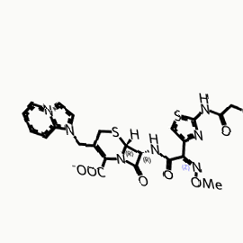 CO/N=C(\C(=O)N[C@@H]1C(=O)N2C(C(=O)[O-])=C(Cn3cc[n+]4ccccc34)CS[C@H]12)c1csc(NC(=O)CCl)n1